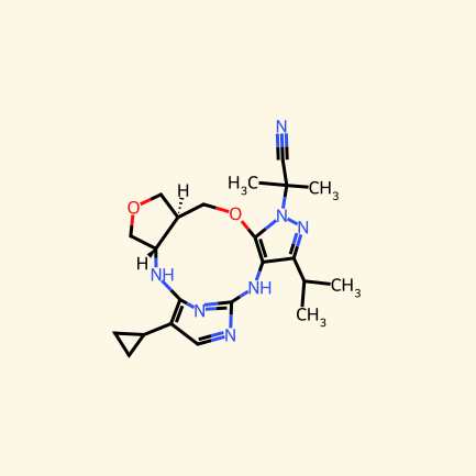 CC(C)c1nn(C(C)(C)C#N)c2c1Nc1ncc(C3CC3)c(n1)N[C@@H]1COC[C@H]1CO2